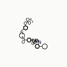 C/C=N\c1c(C2CCCCCC2)cccc1S(=O)(=O)Nc1ccc(C(=O)N2CCCN(Cc3cccc(OC(C)=O)c3)CC2)cc1